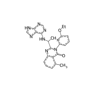 CCOc1cccc(-n2c(C(C)Nc3ncnc4[nH]cnc34)nc3cccc(C)c3c2=O)c1